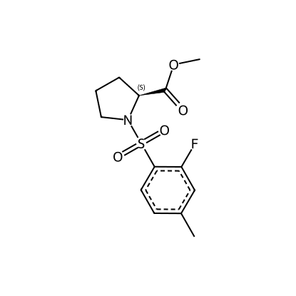 COC(=O)[C@@H]1CCCN1S(=O)(=O)c1ccc(C)cc1F